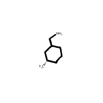 NCC1CCC[C@H](C(F)(F)F)C1